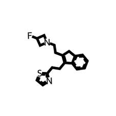 FC1CN(CCC2=C(CCc3nccs3)c3ccccc3C2)C1